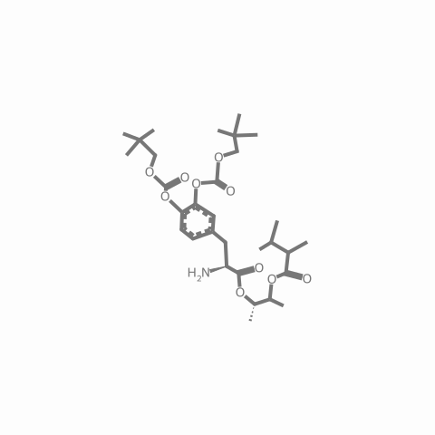 CC(C)C(C)C(=O)OC(C)[C@H](C)OC(=O)[C@@H](N)Cc1ccc(OC(=O)OCC(C)(C)C)c(OC(=O)OCC(C)(C)C)c1